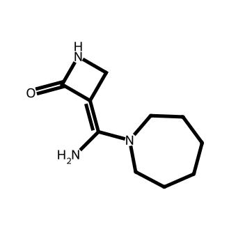 NC(=C1CNC1=O)N1CCCCCC1